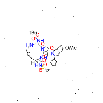 COc1ccc2c(OC3C[C@H]4C(=O)N[C@]5(C(=O)NS(=O)(=O)C6CC6)C[C@H]5/C=C\CCCNC[C@H](NC(=O)OC(C)(C)C)C(=O)N4C3)nc(-c3ccccc3)cc2c1